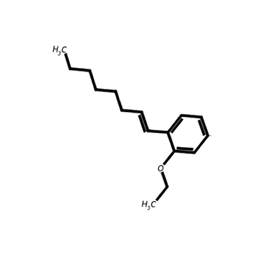 CCCCCCC=Cc1cc[c]cc1OCC